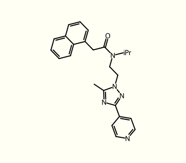 Cc1nc(-c2ccncc2)nn1CCN(C(=O)Cc1cccc2ccccc12)C(C)C